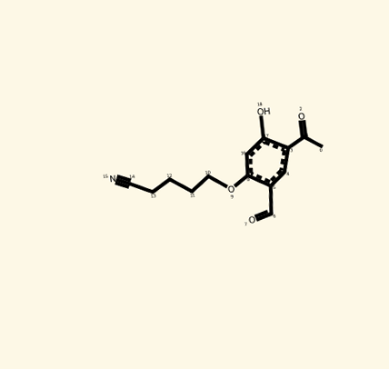 CC(=O)c1cc(C=O)c(OCCCCC#N)cc1O